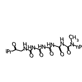 CCCN(C)C(=O)NC(=O)NC(=O)NC(=O)NC(=O)NCC(=O)C(C)C